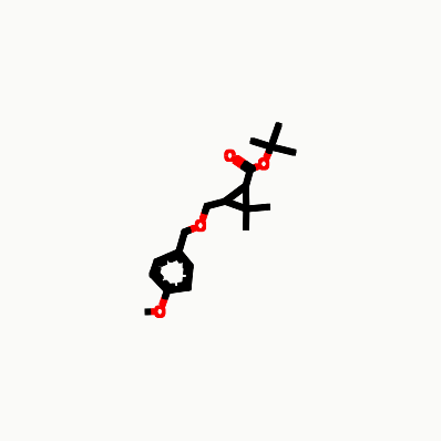 COc1ccc(COCC2C(C(=O)OC(C)(C)C)C2(C)C)cc1